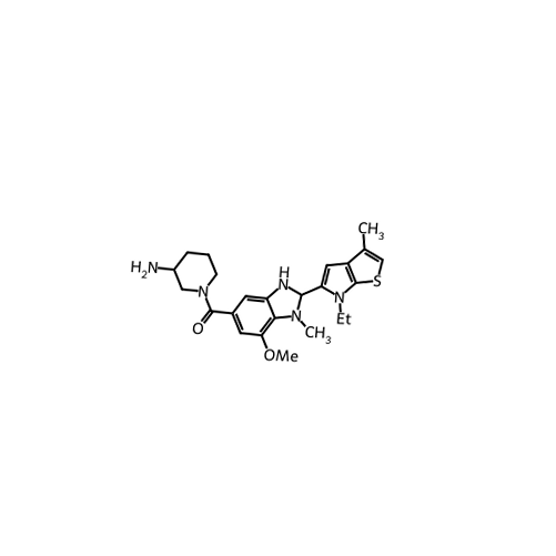 CCn1c(C2Nc3cc(C(=O)N4CCCC(N)C4)cc(OC)c3N2C)cc2c(C)csc21